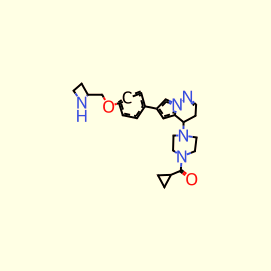 O=C(C1CC1)N1CCN(C2CC=Nn3cc(-c4ccc(OCC5CCN5)cc4)cc32)CC1